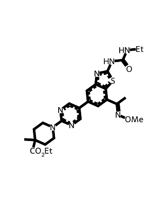 CCNC(=O)Nc1nc2cc(-c3cnc(N4CCC(C)(C(=O)OCC)CC4)nc3)cc(/C(C)=N/OC)c2s1